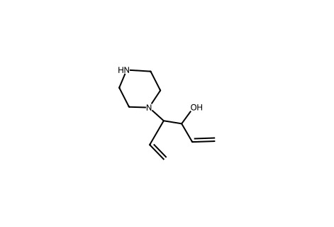 C=CC(O)C(C=C)N1CCNCC1